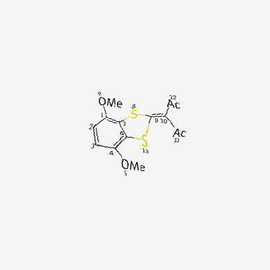 COc1ccc(OC)c2c1SC(=C(C(C)=O)C(C)=O)S2